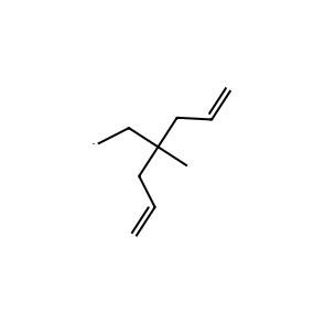 [CH2]CC(C)(CC=C)CC=C